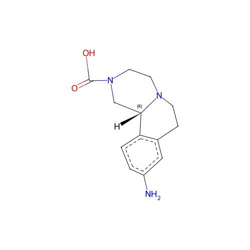 Nc1ccc2c(c1)CCN1CCN(C(=O)O)C[C@@H]21